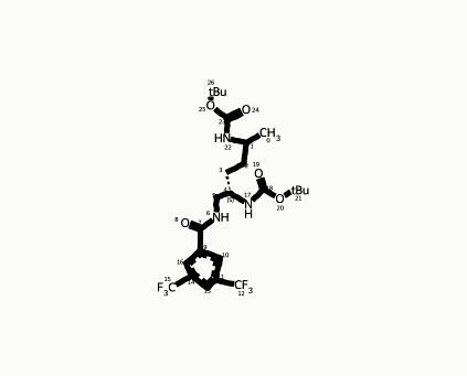 CC(CC[C@@H](CNC(=O)c1cc(C(F)(F)F)cc(C(F)(F)F)c1)NC(=O)OC(C)(C)C)NC(=O)OC(C)(C)C